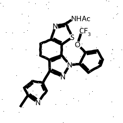 CC(=O)Nc1nc2c(s1)-c1c(c(-c3ccc(C)nc3)nn1-c1ccccc1OC(F)(F)F)CC2